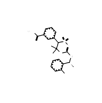 COC(=O)c1cccc(C2C(C)(C)OC(N[C@@H](C)c3ccccc3F)=NS2(=O)=O)c1